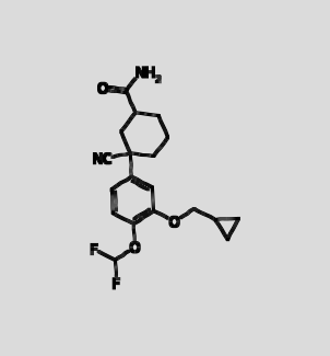 N#CC1(c2ccc(OC(F)F)c(OCC3CC3)c2)CCCC(C(N)=O)C1